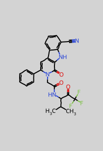 CC(C)C(NC(=O)Cn1c(-c2ccccc2)cc2c([nH]c3c(C#N)cccc32)c1=O)C(=O)C(F)(F)F